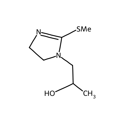 CSC1=NCCN1CC(C)O